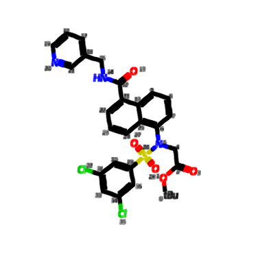 CC(C)(C)OC(=O)CN(c1cccc2c(C(=O)NCc3cccnc3)cccc12)S(=O)(=O)c1cc(Cl)cc(Cl)c1